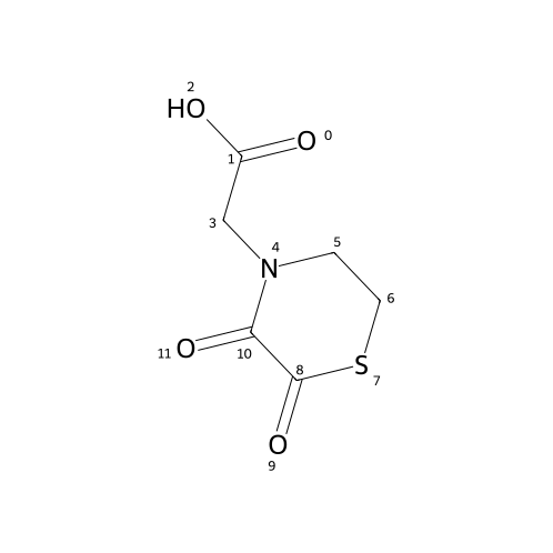 O=C(O)CN1CCSC(=O)C1=O